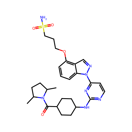 CC1CCC(C)N1C(=O)C1CCC(Nc2nccc(-n3ncc4c(OCCCS(N)(=O)=O)cccc43)n2)CC1